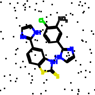 O=[N+]([O-])c1cc(-c2ncc[nH]2)ccc1Cl.S=c1[nH]c2cc(-c3ncc[nH]3)ccc2s1